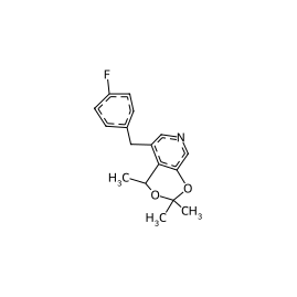 CC1OC(C)(C)Oc2cncc(Cc3ccc(F)cc3)c21